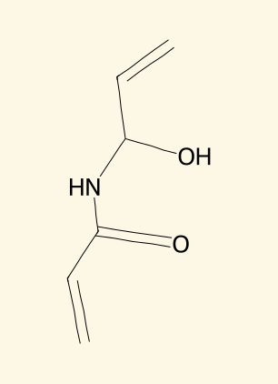 C=CC(=O)NC(O)C=C